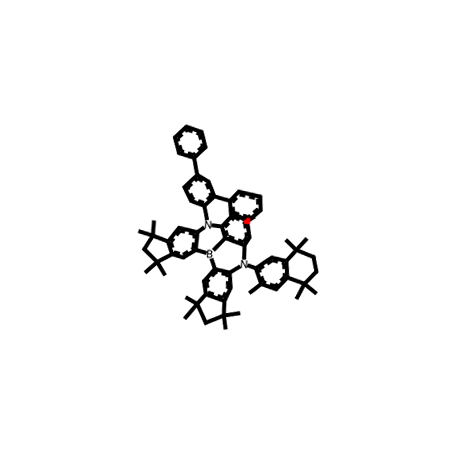 Cc1cc2c3c(c1)N(c1ccc(-c4ccccc4)cc1-c1ccccc1)c1cc4c(cc1B3c1cc3c(cc1N2c1cc2c(cc1C)C(C)(C)CCC2(C)C)C(C)(C)CC3(C)C)C(C)(C)CC4(C)C